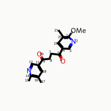 COc1ncc(C(=O)CCC(=O)c2cnc(C)c(C)c2)cc1C